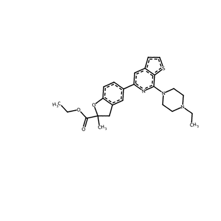 CCOC(=O)C1(C)Cc2cc(-c3cc4ccsc4c(N4CCN(CC)CC4)n3)ccc2O1